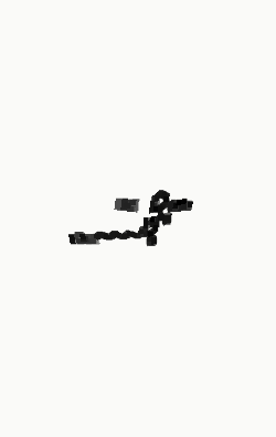 CCCCCCCCCCCCCCCCOC(=O)CNC(=O)c1ncccc1OC.Cl